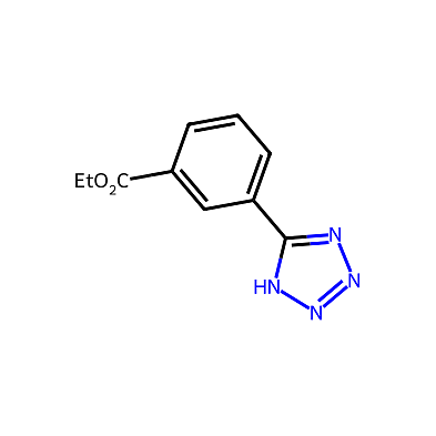 CCOC(=O)c1cccc(-c2nnn[nH]2)c1